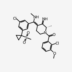 CN/C(=C1/CCN(C(=O)c2cccc(OC)c2Cl)[C@@H](C)C1=N)c1cc(Cl)cc(C2(S(C)(=O)=O)CC2)c1